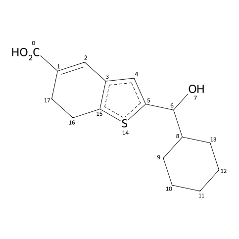 O=C(O)C1=Cc2cc(C(O)C3CCCCC3)sc2CC1